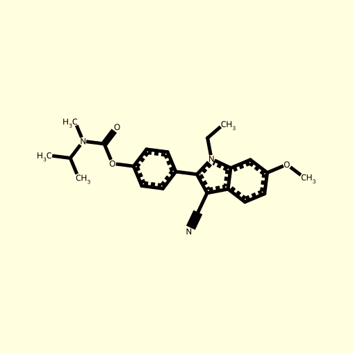 CCn1c(-c2ccc(OC(=O)N(C)C(C)C)cc2)c(C#N)c2ccc(OC)cc21